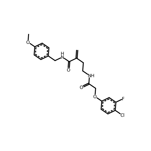 C=C(CCNC(=O)COc1ccc(Cl)c(F)c1)C(=O)NCc1ccc(OC)cc1